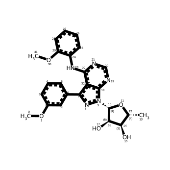 COc1cccc(-c2nn([C@@H]3O[C@H](C)[C@@H](O)[C@H]3O)c3ncnc(Nc4ccccc4OC)c23)c1